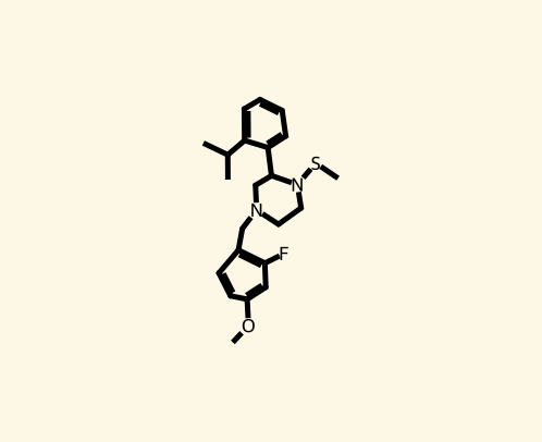 COc1ccc(CN2CCN(SC)C(c3ccccc3C(C)C)C2)c(F)c1